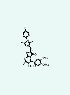 CCOC(=O)C1=C(C)N=c2s/c(=C\c3cc(C)n(-c4ccc(F)cc4)c3C)c(=O)n2C1c1ccc(OC)c(OC)c1